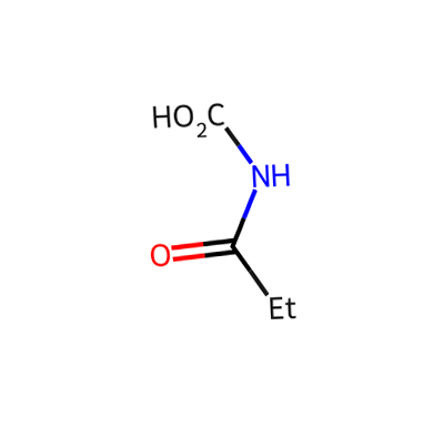 CCC(=O)NC(=O)O